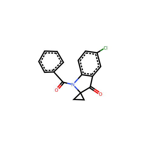 O=C(c1ccccc1)N1c2ccc(Cl)cc2C(=O)C12CC2